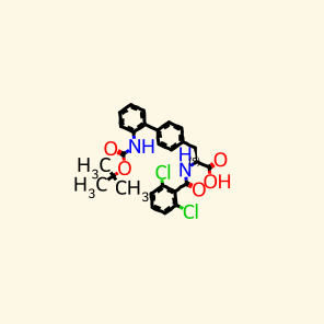 CC(C)(C)OC(=O)Nc1ccccc1-c1ccc(C[C@H](NC(=O)c2c(Cl)cccc2Cl)C(=O)O)cc1